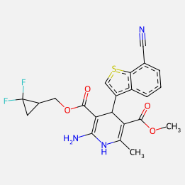 COC(=O)C1=C(C)NC(N)=C(C(=O)OCC2CC2(F)F)C1c1csc2c(C#N)cccc12